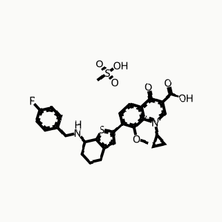 COc1c(-c2cc3c(s2)C(NCc2ccc(F)cc2)CCC3)ccc2c(=O)c(C(=O)O)cn(C3CC3)c12.CS(=O)(=O)O